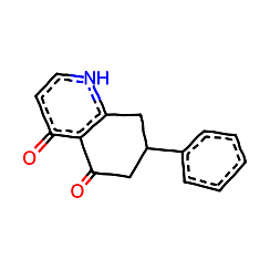 O=C1CC(c2ccccc2)Cc2[nH]ccc(=O)c21